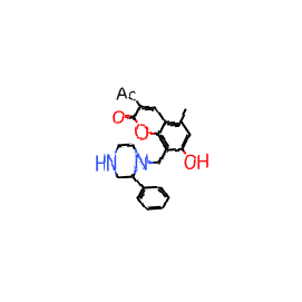 CC(=O)c1cc2c(C)cc(O)c(CN3CCNCC3c3ccccc3)c2oc1=O